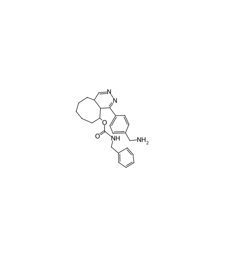 NCc1ccc(C2=NN=CC3CCCCCC(OC(=O)NCc4ccccc4)C23)cc1